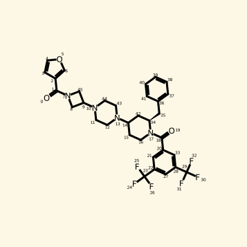 O=C(c1ccoc1)N1CC(N2CCN(C3CCN(C(=O)c4cc(C(F)(F)F)cc(C(F)(F)F)c4)[C@H](Cc4ccccc4)C3)CC2)C1